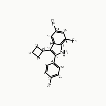 Fc1ccc(-c2[nH]c3c(F)cc(F)cc3c2C2CCC2)cc1